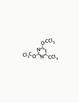 ClC(Cl)(Cl)Oc1cc(C(Cl)(Cl)Cl)nc(OC(Cl)(Cl)Cl)n1